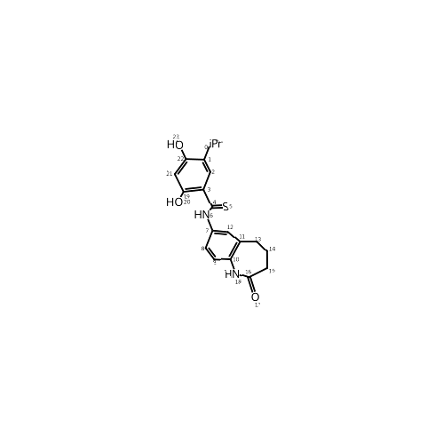 CC(C)c1cc(C(=S)Nc2ccc3c(c2)CCCC(=O)N3)c(O)cc1O